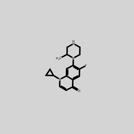 CC1CNCCN1c1cc2c(cc1F)c(=O)ccn2C1CC1